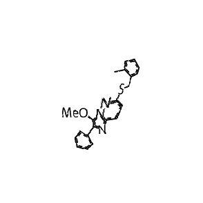 COc1c(-c2ccccc2)nc2ccc(SCc3ccccc3C)nn12